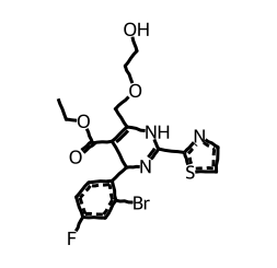 CCOC(=O)C1=C(COCCO)NC(c2nccs2)=NC1c1ccc(F)cc1Br